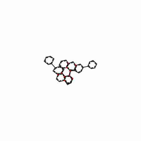 c1ccc(-c2ccc(-c3ccccc3N(c3ccc(-c4ccccc4)cc3)c3ccccc3-c3cccc4cccc(-c5ccccc5)c34)cc2)cc1